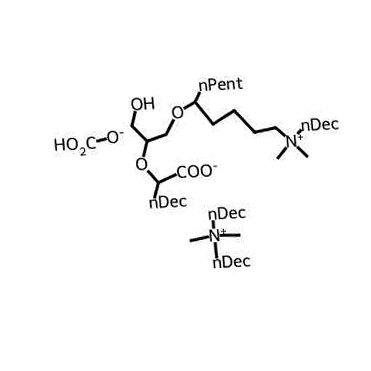 CCCCCCCCCCC(OC(CO)COC(CCCCC)CCCC[N+](C)(C)CCCCCCCCCC)C(=O)[O-].CCCCCCCCCC[N+](C)(C)CCCCCCCCCC.O=C([O-])O